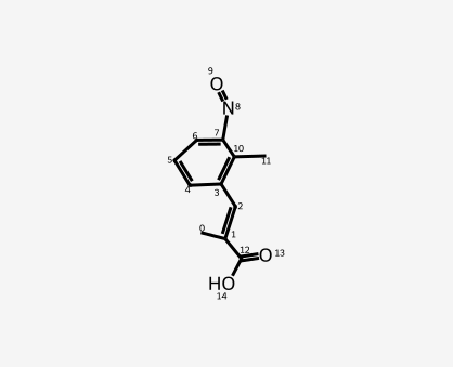 C/C(=C\c1cccc(N=O)c1C)C(=O)O